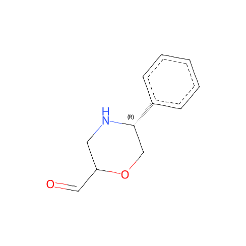 O=CC1CN[C@H](c2ccccc2)CO1